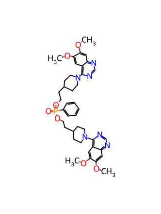 COc1cc2ncnc(N3CCC(CCOP(=O)(OCCC4CCN(c5ncnc6cc(OC)c(OC)cc56)CC4)c4ccccc4)CC3)c2cc1OC